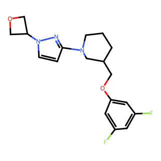 Fc1cc(F)cc(OCC2CCCN(c3ccn(C4COC4)n3)C2)c1